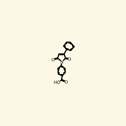 O=C(O)c1ccc(N2C(=O)C=C(c3ccccc3)C2=O)cc1